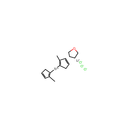 C1CCOC1.CC1=[C]([Ti+2][C]2=C(C)C=CC2)CC=C1.[Cl-].[Cl-].[Cl-].[Li+]